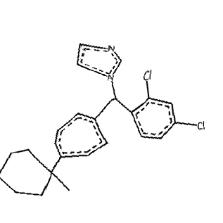 CC1(c2ccc(C(c3ccc(Cl)cc3Cl)n3ccnc3)cc2)CCCCC1